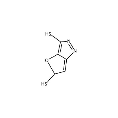 SC1=C2OC(S)C=C2N=N1